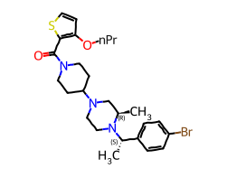 CCCOc1ccsc1C(=O)N1CCC(N2CCN([C@@H](C)c3ccc(Br)cc3)[C@H](C)C2)CC1